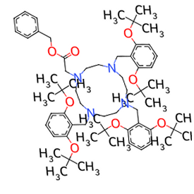 CC(C)(C)Oc1cccc(OC(C)(C)C)c1CN1CCN(CC(=O)OCc2ccccc2)CCN(Cc2c(OC(C)(C)C)cccc2OC(C)(C)C)CCN(Cc2c(OC(C)(C)C)cccc2OC(C)(C)C)CC1